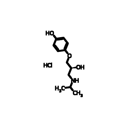 CC(C)NC[C@@H](O)COc1ccc(O)cc1.Cl